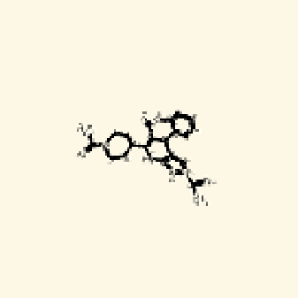 CC(=O)N1CCC(C2=C(C#N)C(c3ccccc3Cl)c3cn(C(C)=O)nc3N2)CC1